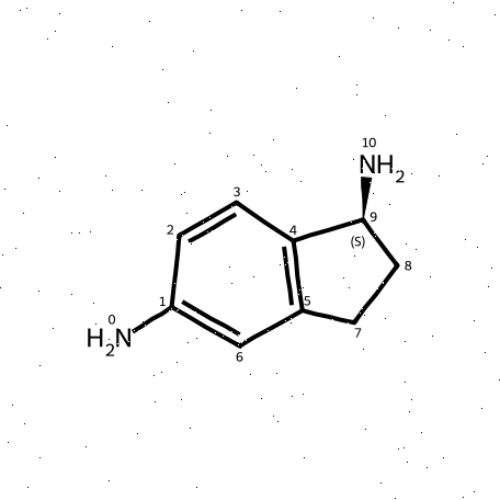 Nc1ccc2c(c1)CC[C@@H]2N